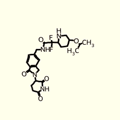 CC(C)OC1CCC(C(F)(F)C(=O)NCc2ccc3c(c2)CN(C2CCC(=O)NC2=O)C3=O)NC1